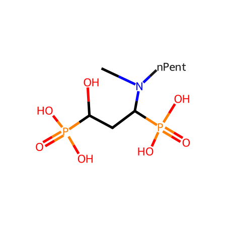 CCCCCN(C)C(CC(O)P(=O)(O)O)P(=O)(O)O